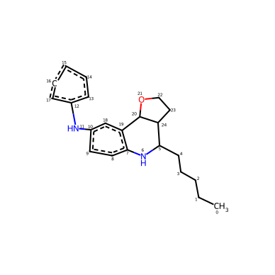 CCCCCC1Nc2ccc(Nc3ccccc3)cc2C2OCCC12